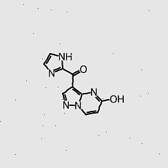 O=C(c1ncc[nH]1)c1cnn2ccc(O)nc12